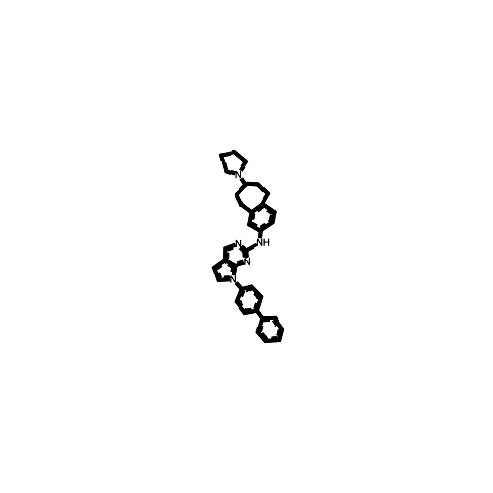 c1ccc(-c2ccc(-n3ccc4cnc(Nc5ccc6c(c5)CCC(N5CCCC5)CC6)nc43)cc2)cc1